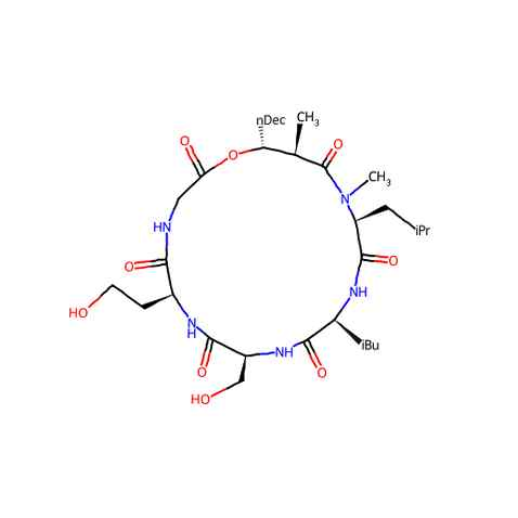 CCCCCCCCCC[C@H]1OC(=O)CNC(=O)[C@H](CCO)NC(=O)[C@H](CO)NC(=O)[C@H](C(C)CC)NC(=O)[C@H](CC(C)C)N(C)C(=O)[C@@H]1C